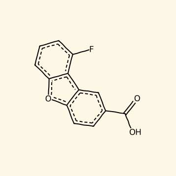 O=C(O)c1ccc2oc3cccc(F)c3c2c1